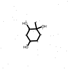 CC1(O)CCC(O)CC1O